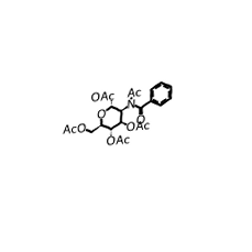 CC(=O)OC[C@H]1O[C@H](OC(C)=O)[C@@H](N(C(C)=O)C(=O)c2ccccc2)[C@@H](OC(C)=O)[C@@H]1OC(C)=O